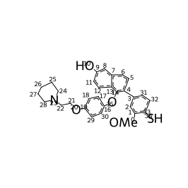 COc1cc(-c2ccc3cc(O)ccc3c2Oc2ccc(OCCN3CCCCC3)cc2)ccc1S